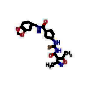 Cc1noc(C)c1C(=O)NC(=S)Nc1ccc(C(=O)NCc2ccc3c(c2)OCO3)cc1